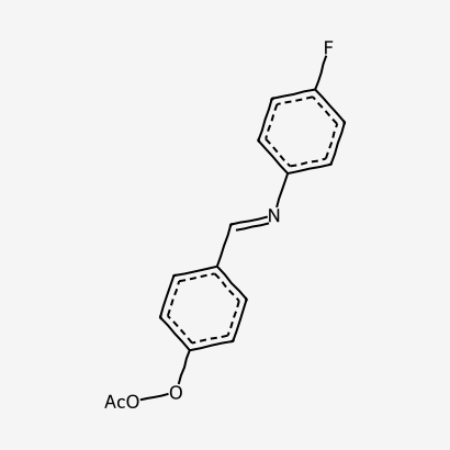 CC(=O)OOc1ccc(C=Nc2ccc(F)cc2)cc1